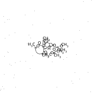 CC[C@H]1CCCC[C@@H](C)C(=O)C2=CC3C(c4nc(C)sc4C4C[C@@H](OC(OC(C)[C@@H](C)OC)[C@H](COC)OC)C[C@H]43)[C@@H]2CC(=O)O1